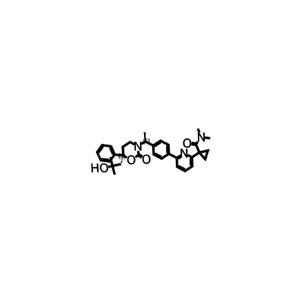 C[C@@H](c1ccc(-c2cccc(C3(C(=O)N(C)C)CC3)n2)cc1)N1CC[C@](CC(C)(C)O)(c2ccccc2)OC1=O